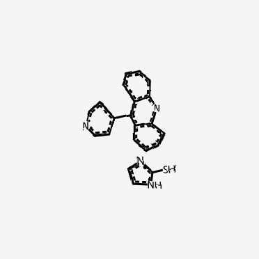 Sc1ncc[nH]1.c1ccc2c(-c3ccncc3)c3ccccc3nc2c1